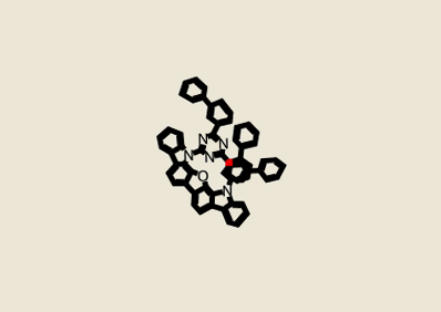 c1ccc(-c2cccc(-c3nc(-c4ccccc4-c4ccccc4)nc(-n4c5ccccc5c5ccc6c7ccc8c9ccccc9n(-c9cccc(-c%10ccccc%10)c9)c8c7oc6c54)n3)c2)cc1